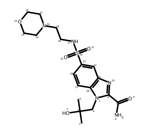 CC(C)(O)Cn1c(C(N)=O)nc2cc(S(=O)(=O)NCCN3CCOCC3)ccc21